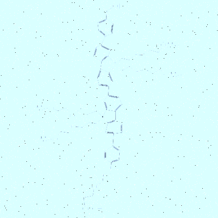 COCCOCCCC1(CCCOCCOC)c2cc(-c3ccc(OCCOCCC(=O)O)cc3)ccc2-c2ccc(-c3ccc4c(c3)[Si](CCCSCCOC)(CCCSCCOC)c3cc(-c5ccc(CO)cc5)ccc3-4)cc21